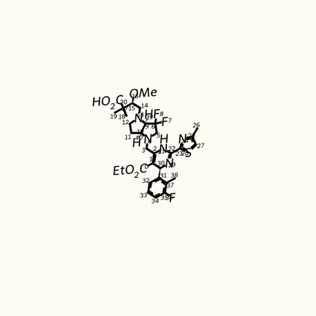 CCOC(=O)C1=C(CN2CC(F)(F)[C@H]3[C@@H]2CCN3C[C@H](OC)C(C)(C)C(=O)O)NC(c2nc(C)cs2)=N[C@H]1c1cccc(F)c1C